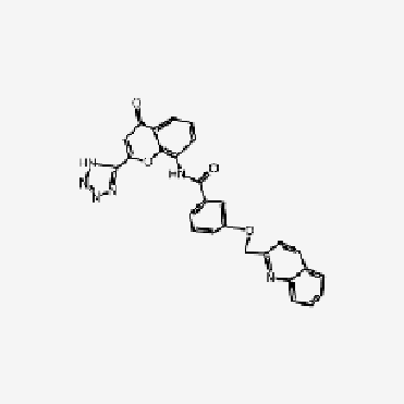 O=C(Nc1cccc2c(=O)cc(-c3nnn[nH]3)oc12)c1cccc(OCc2ccc3ccccc3n2)c1